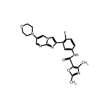 Cc1nc(C)c(C(=O)Nc2ccc(F)c(-c3cn4cc(N5CCOCC5)cnc4n3)c2)o1